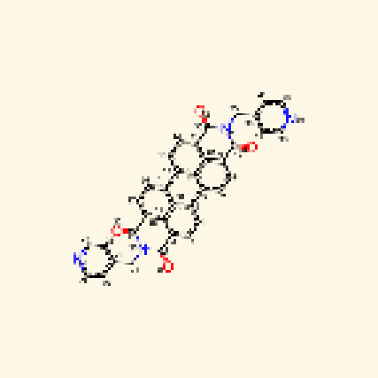 O=C1c2ccc3c4ccc5c6c(ccc(c7ccc(c2c37)C(=O)N1Cc1ccncc1)c64)C(=O)N(Cc1ccncc1)C5=O